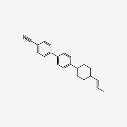 CC=CC1CCC(c2ccc(-c3ccc(C#N)cc3)cc2)CC1